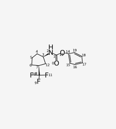 O=C(N[C@@H]1CCC[C@H](C(F)(F)F)C1)Oc1ccccc1